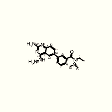 CCN(C(=O)c1cccc(-c2ccc3nc(N)nc(NN)c3c2)c1)N(C)C